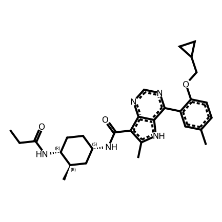 CCC(=O)N[C@@H]1CC[C@H](NC(=O)c2c(C)[nH]c3c(-c4cc(C)ccc4OCC4CC4)ncnc23)C[C@H]1C